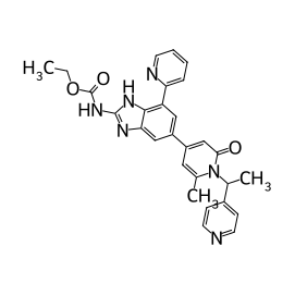 CCOC(=O)Nc1nc2cc(-c3cc(C)n(C(C)c4ccncc4)c(=O)c3)cc(-c3ccccn3)c2[nH]1